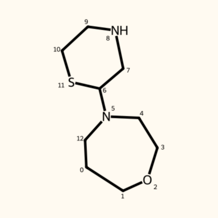 C1COCCN(C2CNCCS2)C1